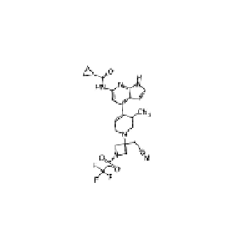 CC1CN(C2(CC#N)CN(S(=O)(=O)C(F)(F)F)C2)CC=C1c1cc(NC(=O)C2CC2)nc2[nH]ccc12